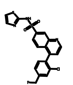 O=S(=O)(Nc1nccs1)c1ccc2c(-c3ccc(CF)cc3Cl)ccnc2c1